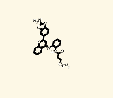 COCCC(=O)Nc1ccccc1/N=c1\cc(-c2ccc3nc(N)oc3c2)oc2ccccc12